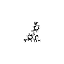 O=C(O)c1cc(Br)ccc1SCc1cccc(Br)c1